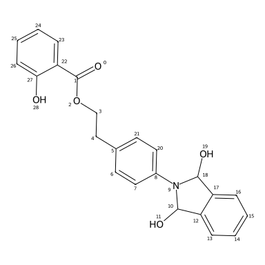 O=C(OCCc1ccc(N2C(O)c3ccccc3C2O)cc1)c1ccccc1O